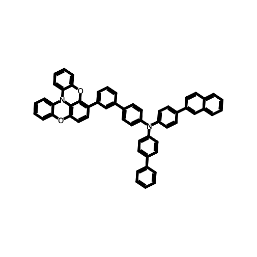 c1ccc(-c2ccc(N(c3ccc(-c4cccc(-c5ccc6c7c5Oc5ccccc5N7c5ccccc5O6)c4)cc3)c3ccc(-c4ccc5ccccc5c4)cc3)cc2)cc1